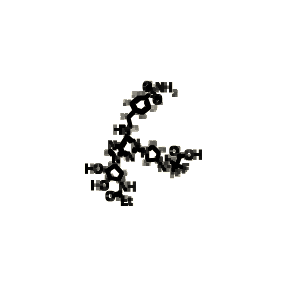 CCC(=O)N[C@H]1C[C@@H](n2cnc3c(NCCc4ccc(S(N)(=O)=O)cc4)nc(N4CC[C@@H](N)C4)nc32)[C@H](O)[C@@H]1O.O=C(O)C(F)(F)F